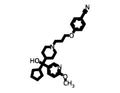 COc1ccc(C(O)(C2CCCC2)C2CCN(CCCOc3ccc(C#N)cc3)CC2)cn1